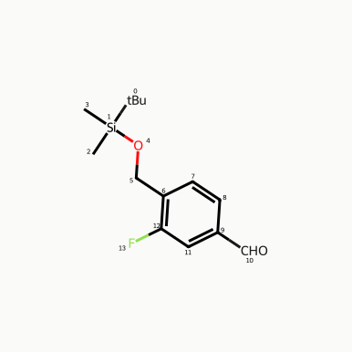 CC(C)(C)[Si](C)(C)OCc1ccc(C=O)cc1F